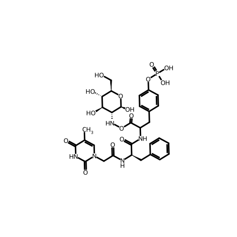 Cc1cn(CC(=O)N[C@H](Cc2ccccc2)C(=O)NC(Cc2ccc(OP(=O)(O)O)cc2)C(=O)ON[C@@H]2[C@@H](O)[C@H](O)[C@@H](CO)O[C@H]2O)c(=O)[nH]c1=O